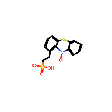 O=P(O)(O)CCc1cccc2c1N(O)c1ccccc1S2